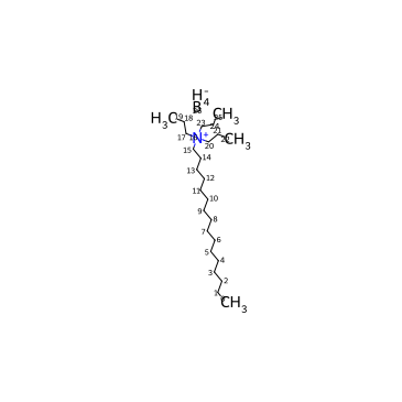 CCCCCCCCCCCCCCCC[N+](CCC)(CCC)CCC.[BH4-]